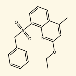 CCOc1cc(C)c2cccc(S(=O)(=O)Cc3ccccc3)c2n1